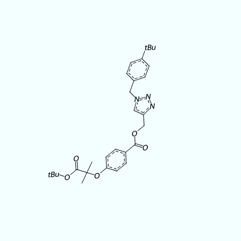 CC(C)(C)OC(=O)C(C)(C)Oc1ccc(C(=O)OCc2cn(Cc3ccc(C(C)(C)C)cc3)nn2)cc1